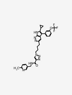 Cc1ccc(CNC(=O)c2cn(CCCCc3cc4c(-c5cccc(OC(F)(F)F)c5)c(C5CC5)[nH]c4nn3)nn2)cn1